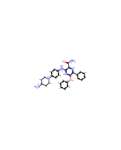 NC(=O)c1nc(-c2ccccc2)c(Oc2ccccc2)nc1Nc1ccc(N2CCC(N)CC2)cc1